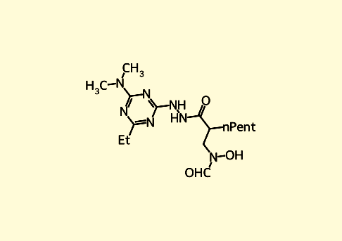 CCCCCC(CN(O)C=O)C(=O)NNc1nc(CC)nc(N(C)C)n1